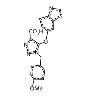 COc1ccc(Cn2nnc(C(=O)O)c2Oc2ccc3ncsc3c2)cc1